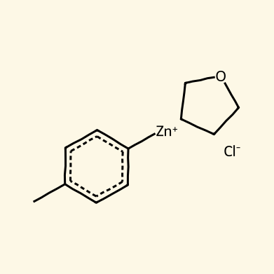 C1CCOC1.Cc1cc[c]([Zn+])cc1.[Cl-]